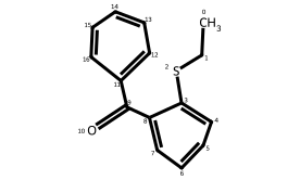 CCSc1ccccc1C(=O)c1ccccc1